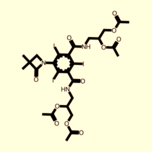 CC(=O)OCC(CNC(=O)c1c(I)c(C(=O)NCC(COC(C)=O)OC(C)=O)c(I)c(N2CC(C)(C)C2=O)c1I)OC(C)=O